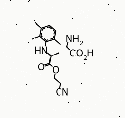 Cc1ccc(C)c(N[C@@H](C)C(=O)OCCC#N)c1C.NCC(=O)O